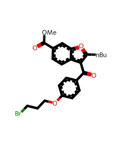 CCCCc1oc2cc(C(=O)OC)ccc2c1C(=O)c1ccc(OCCCBr)cc1